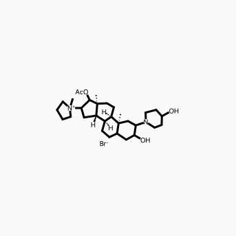 CC(=O)OC1C([N+]2(C)CCCC2)C[C@H]2[C@@H]3CCC4CC(O)C(N5CCC(O)CC5)C[C@]4(C)[C@@H]3CC[C@]12C.[Br-]